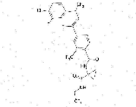 O=C(NC1(C(=O)NCC(F)(F)F)CC1)c1ccc(C(F)=CC(c2ccc(Cl)c(F)c2)C(F)(F)F)cc1C(F)(F)F